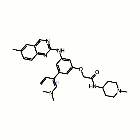 C=C/C(=C\N(C)C)c1cc(Nc2ncc3cc(C)ccc3n2)cc(OCC(=O)NC2CCN(C)CC2)c1